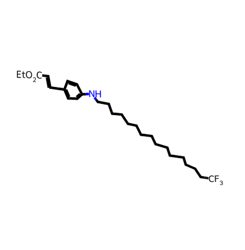 CCOC(=O)C=Cc1ccc(NCCCCCCCCCCCCCCCC(F)(F)F)cc1